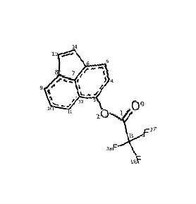 O=C(Oc1ccc2c3c(cccc13)C=C2)C(F)(F)F